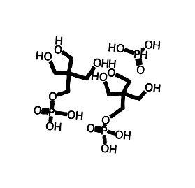 O=P(O)(O)OCC(CO)(CO)CO.O=P(O)(O)OCC(CO)(CO)CO.O=[PH](O)O